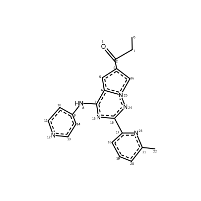 CCC(=O)c1cc2c(Nc3ccncc3)nc(-c3cccc(C)n3)nn2c1